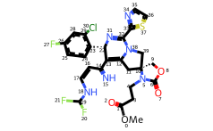 COC(=O)CCN1C(=O)OC[C@@]12CC1=C(C(=N)/C=C\NC(F)F)[C@H](c3ccc(F)cc3Cl)N=C(c3nccs3)N1C2